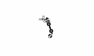 O=C(NO)[C@@H]1CCN1S(=O)(=O)c1ccc(C#Cc2ccc(CN3CCOCC3)cc2)cc1